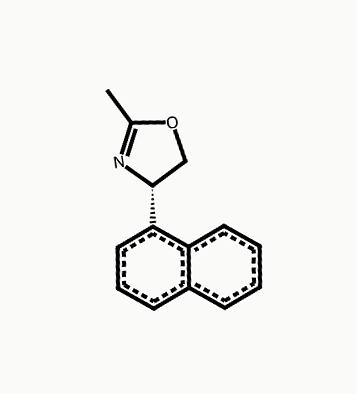 CC1=N[C@@H](c2cccc3ccccc23)CO1